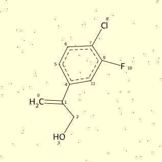 C=C(CO)c1ccc(Cl)c(F)c1